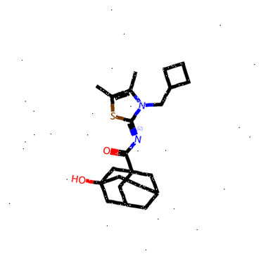 Cc1s/c(=N\C(=O)C23CC4CC(CC(O)(C4)C2)C3)n(CC2CCC2)c1C